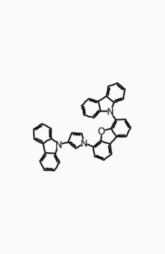 c1cc(-n2ccc(-n3c4ccccc4c4ccccc43)c2)c2oc3c(-n4c5ccccc5c5ccccc54)cccc3c2c1